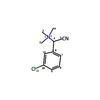 C[N+](C)(C)C(C#N)c1cccc(Cl)c1